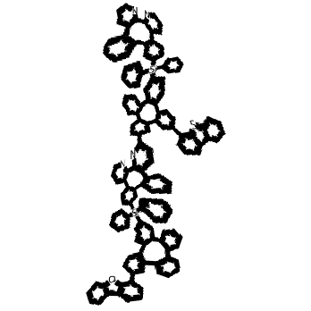 c1ccc([Si](c2ccccc2)(c2ccc3c(c2)-c2ccccc2-c2ccc(-c4ccc5c(n4)-c4ncccc4-c4ccc([Si](c6ccccc6)(c6ccccc6)c6ccc7c(c6)-c6ccccc6-c6ccccc6-c6cc(-c8cccc9c8oc8ccccc89)ccc6-7)cc4-c4ccccc4-5)cc2-c2cc(-c4cccc5c4sc4ccccc45)ccc2-3)c2ccc3c(c2)-c2ccccc2-c2cccnc2-c2ncccc2-3)cc1